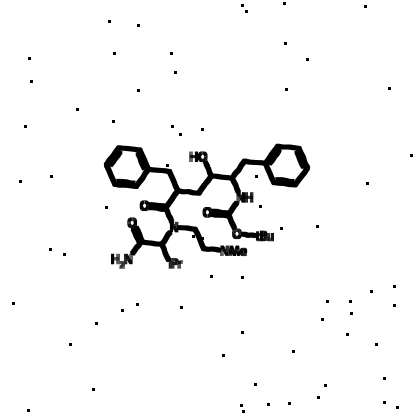 CNCCN(C(=O)C(Cc1ccccc1)CC(O)C(Cc1ccccc1)NC(=O)OC(C)(C)C)C(C(N)=O)C(C)C